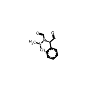 CN(C)N(C=O)[C@@H]([C]=O)c1ccccc1